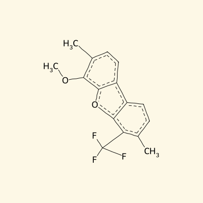 COc1c(C)ccc2c1oc1c(C(F)(F)F)c(C)ccc12